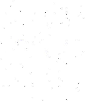 CC(C)(C)[Si](C)(C)O[C@@H]1c2ccc(N3C=C(c4onc(-c5ccccc5)c4C(F)(F)F)ON3)cc2OC[C@@H]1N